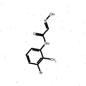 Cc1c(Br)cccc1NC(=O)/C=N/O